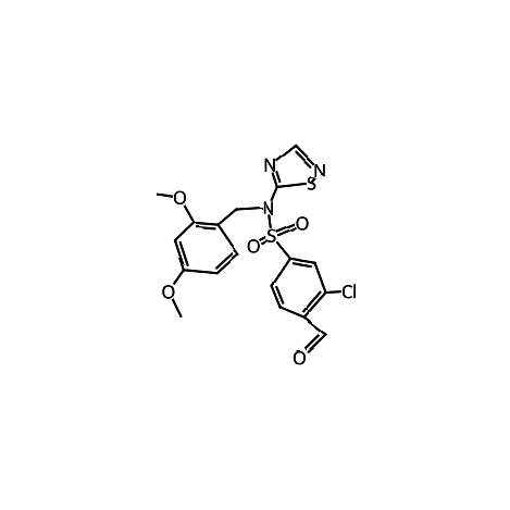 COc1ccc(CN(c2ncns2)S(=O)(=O)c2ccc(C=O)c(Cl)c2)c(OC)c1